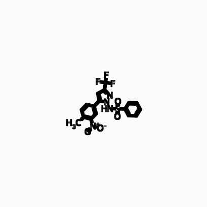 Cc1ccc(-c2cc(C(F)(F)F)nn2NS(=O)(=O)c2ccccc2)cc1[N+](=O)[O-]